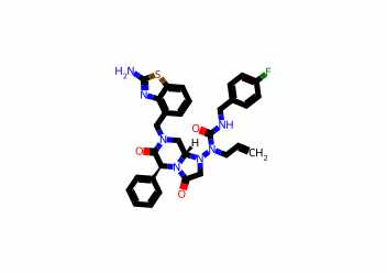 C=CCN(C(=O)NCc1ccc(F)cc1)N1CC(=O)N2[C@@H](c3ccccc3)C(=O)N(Cc3cccc4sc(N)nc34)C[C@@H]21